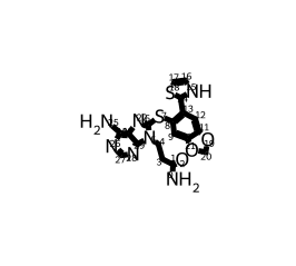 NC(=O)CCn1c(Sc2cc3c(cc2C2NC=CS2)OCO3)nc2c(N)ncnc21